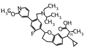 CCN(Cc1cc(C2CCc3ccc(C(C4CC4)[C@H](C)C(=O)O)cc3O2)c(F)cc1-c1ccnc(OC)c1)C(C)C